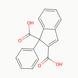 O=C(O)C1=Cc2ccccc2C1(C(=O)O)c1ccccc1